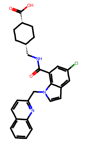 O=C(NC[C@H]1CC[C@@H](C(=O)O)CC1)c1cc(Cl)cc2ccn(Cc3ccc4ccccc4n3)c12